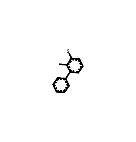 Cc1c([S])cccc1-c1ccccc1